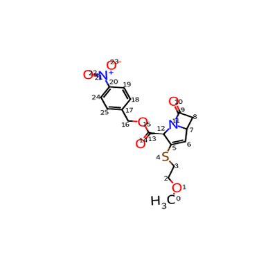 COCCSC1=CC2CC(=O)N2[C@@H]1C(=O)OCc1ccc([N+](=O)[O-])cc1